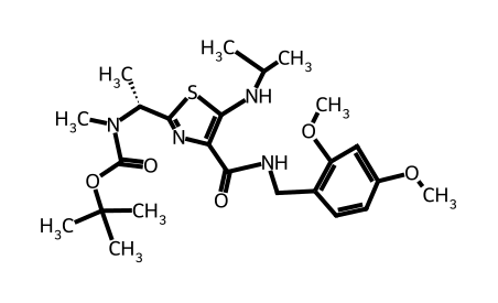 COc1ccc(CNC(=O)c2nc([C@@H](C)N(C)C(=O)OC(C)(C)C)sc2NC(C)C)c(OC)c1